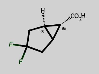 O=C(O)[C@@H]1C2CC(F)(F)C[C@H]21